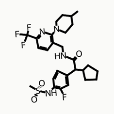 CC1CCN(c2nc(C(F)(F)F)ccc2CNC(=O)C(c2ccc(NS(C)(=O)=O)c(F)c2)C2CCCC2)CC1